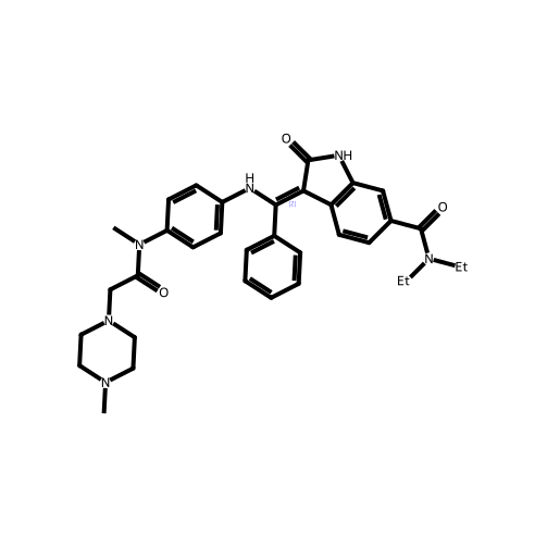 CCN(CC)C(=O)c1ccc2c(c1)NC(=O)/C2=C(\Nc1ccc(N(C)C(=O)CN2CCN(C)CC2)cc1)c1ccccc1